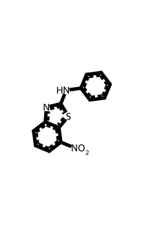 O=[N+]([O-])c1cccc2nc(Nc3ccccc3)sc12